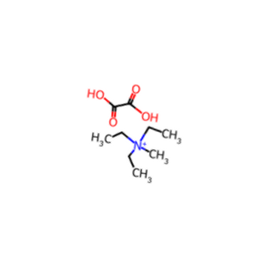 CC[N+](C)(CC)CC.O=C(O)C(=O)O